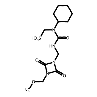 N#COCN1C(=O)N(CNC(=O)N(CS(=O)(=O)O)C2CCCCC2)C1=O